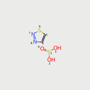 O=S(O)O.c1csnn1